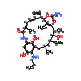 C=CCNc1c(O)cc2c(O)c1C[C@@H](C)C[C@H](OC)C(O)[C@@H](C)/C=C(\C)C(OC(N)=O)C(OC)/C=C\C=C(/C)C(=O)N2